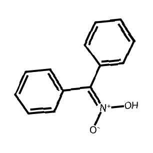 [O-][N+](O)=C(c1ccccc1)c1ccccc1